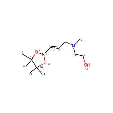 CN(C/C=C/B1OC(C)(C)C(C)(C)O1)CCO